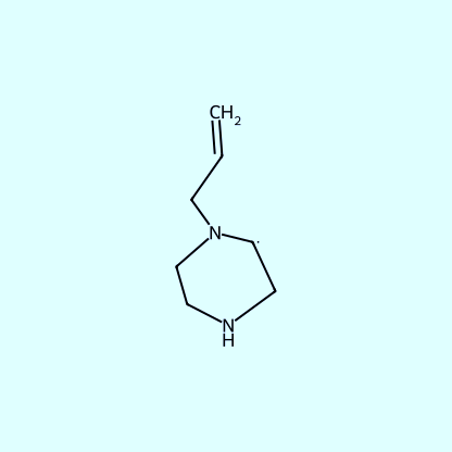 C=CCN1[CH]CNCC1